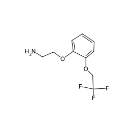 NCCOc1ccccc1OCC(F)(F)F